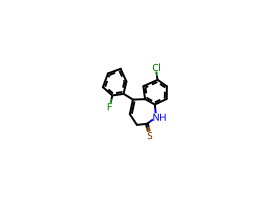 Fc1ccccc1C1=CCC(=S)Nc2ccc(Cl)cc21